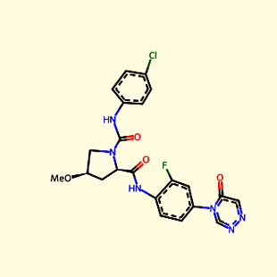 CO[C@@H]1C[C@H](C(=O)Nc2ccc(-n3cnncc3=O)cc2F)N(C(=O)Nc2ccc(Cl)cc2)C1